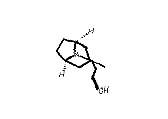 C[C@H]1C[C@H]2CC[C@@H](C1)N2CCO